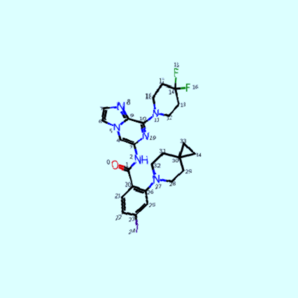 O=C(Nc1cn2ccnc2c(N2CCC(F)(F)CC2)n1)c1ccc(I)cc1N1CCC2(CC1)CC2